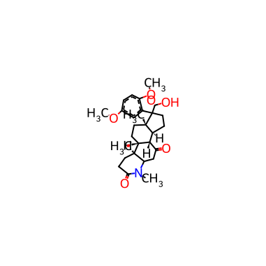 COc1ccc(OC)c(C2(C(=O)O)CC[C@H]3[C@@H]4C(=O)CC5N(C)C(=O)CC[C@]5(C)[C@@H]4CC[C@@]32C)c1